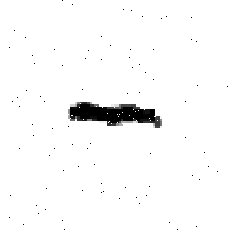 CC[C@H]1CC[C@H](c2ccc(C=NN=Cc3ccc(F)cc3)cc2)CC1